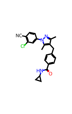 Cc1nn(-c2ccc(C#N)c(Cl)c2)c(C)c1Cc1ccc(C(=O)NC2CC2)cc1